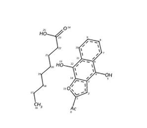 CC(=O)c1cc2c(O)c3ccccc3c(O)c2o1.CCCCCCCC(=O)O